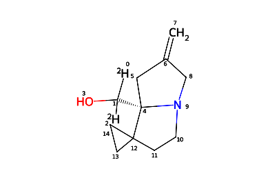 [2H]C([2H])(O)[C@]12CC(=C)CN1CCC21CC1